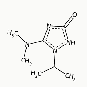 CC(C)n1[nH]c(=O)nc1N(C)C